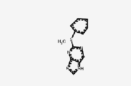 O.c1ccc(Sc2ncc3[nH]cnc3n2)cc1